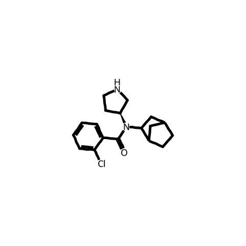 O=C(c1ccccc1Cl)N(C1CC2CCC1C2)[C@H]1CCNC1